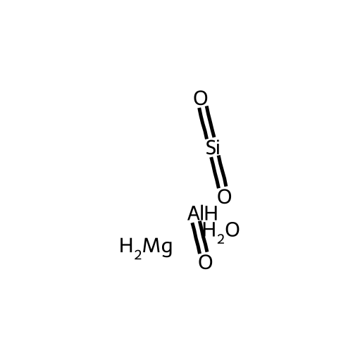 O.O=[Si]=O.[MgH2].[O]=[AlH]